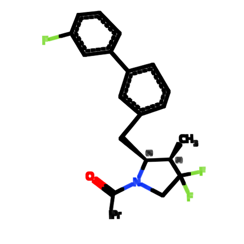 CC(C)C(=O)N1CC(F)(F)[C@H](C)[C@@H]1Cc1cccc(-c2cccc(F)c2)c1